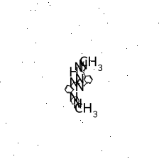 CN1CCN(c2cccc(Nc3ncc4cccc(-c5cnn(C)c5)c4n3)c2)CC1